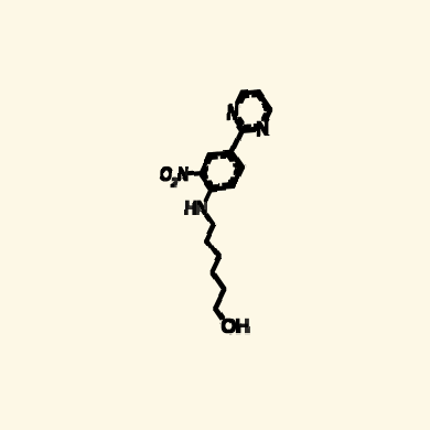 O=[N+]([O-])c1cc(-c2ncccn2)ccc1NCCCCCCO